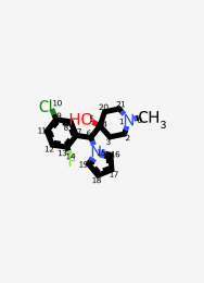 CN1CCC(O)(C(c2cc(Cl)ccc2F)n2cccc2)CC1